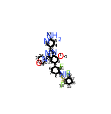 COc1cc(-c2cccc(NSc3c(F)cccc3F)c2F)cc2c(N3CCOCC3)nc(-c3ccc(N)nc3)nc12